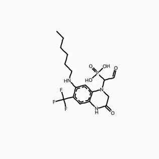 CCCCCCNc1cc2c(cc1C(F)(F)F)NC(=O)CN2C(C=O)P(=O)(O)O